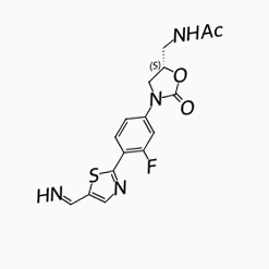 CC(=O)NC[C@H]1CN(c2ccc(-c3ncc(C=N)s3)c(F)c2)C(=O)O1